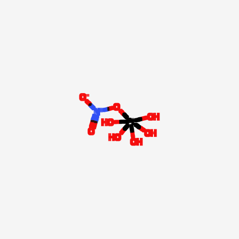 O=[N+]([O-])[O][Pt]([OH])([OH])([OH])([OH])[OH]